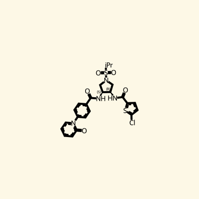 CC(C)S(=O)(=O)N1C[C@H](NC(=O)c2ccc(-n3ccccc3=O)cc2)[C@H](NC(=O)c2ccc(Cl)s2)C1